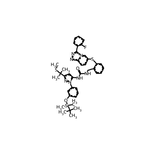 CSC(C)(C)c1cc(NC(=O)NCc2ccccc2Sc2ccc3nnc(-c4ccccc4F)n3c2)n(-c2cccc(O[Si](C)(C)C(C)(C)C)c2)n1